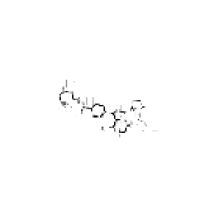 C=CC(=O)N1CCC[C@H]1c1nc(-c2ccc(C(=O)Nc3cc(CCC)ccn3)cc2)c2c(C)nccn12